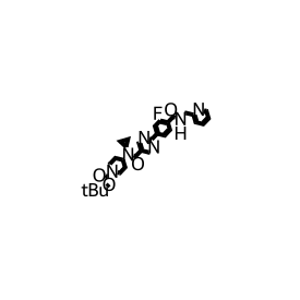 CC(C)(C)OC(=O)N1CCC(N(C(=O)c2cnc(-c3ccc(C(=O)NCc4ccccn4)c(F)c3)nc2)C2CC2)CC1